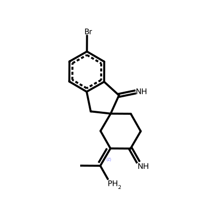 C/C(P)=C1\CC2(CCC1=N)Cc1ccc(Br)cc1C2=N